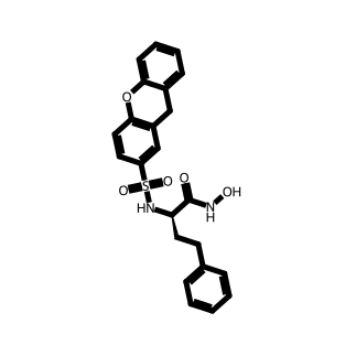 O=C(NO)[C@@H](CCc1ccccc1)NS(=O)(=O)c1ccc2c(c1)Cc1ccccc1O2